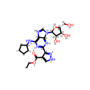 CCOC(=O)c1c[nH]nc1-c1nc(NC2CCCC2)c2ncn(C3O[C@H](CO)[C@@H](O)[C@H]3O)c2n1